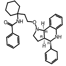 O=C(NC1(CCON2CC[C@@H]3[C@H](C4C=CC=CC4)Nc4ccccc4[C@@H]32)CCCCC1)c1ccccc1